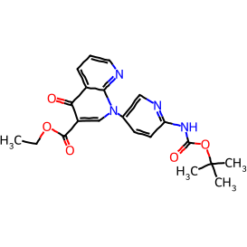 CCOC(=O)c1cn(-c2ccc(NC(=O)OC(C)(C)C)nc2)c2ncccc2c1=O